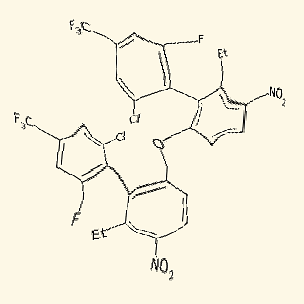 CCc1c([N+](=O)[O-])ccc(Oc2ccc([N+](=O)[O-])c(CC)c2-c2c(F)cc(C(F)(F)F)cc2Cl)c1-c1c(F)cc(C(F)(F)F)cc1Cl